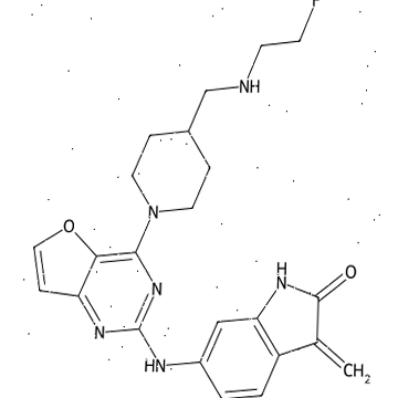 C=C1C(=O)Nc2cc(Nc3nc(N4CCC(CNCCF)CC4)c4occc4n3)ccc21